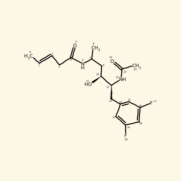 C/C=C/CC(=O)NC(C)C[C@H](O)[C@H](Cc1cc(F)cc(F)c1)NC(C)=O